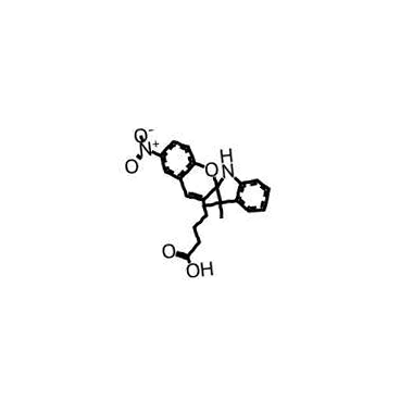 CC1(C)c2ccccc2NC12Oc1ccc([N+](=O)[O-])cc1C=C2CCCC(=O)O